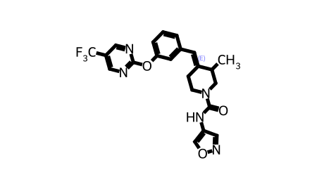 CC1CN(C(=O)Nc2cnoc2)CC/C1=C\c1cccc(Oc2ncc(C(F)(F)F)cn2)c1